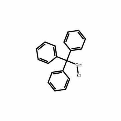 [Cl][Ge][C](c1ccccc1)(c1ccccc1)c1ccccc1